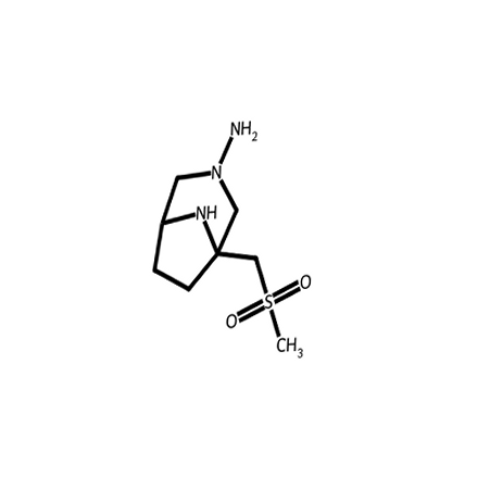 CS(=O)(=O)CC12CCC(CN(N)C1)N2